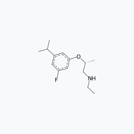 CCNC[C@@H](C)Oc1cc(F)cc(C(C)C)c1